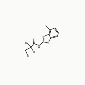 Cc1cccc2sc(NC(=O)C(Cl)(Cl)CCl)nc12